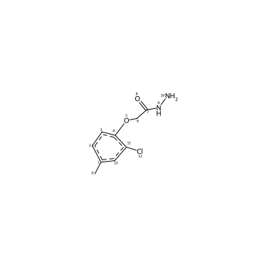 Cc1ccc(OCC(=O)NN)c(Cl)c1